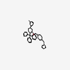 Cc1cccc(C2CCN(C(c3ccccc3)(c3ccccc3)c3ccccc3)C(CCN3CCC(Cc4ccccc4)CC3)C2)c1